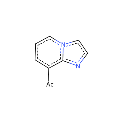 CC(=O)c1cccn2ccnc12